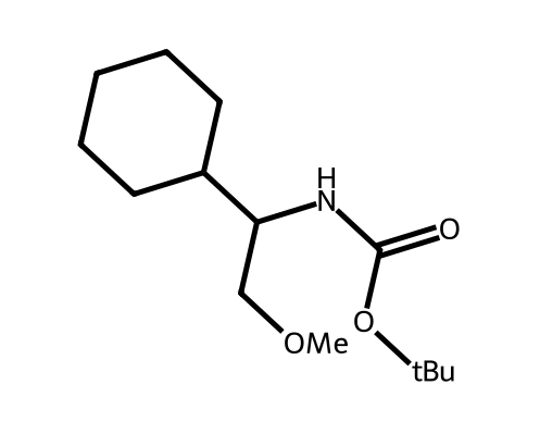 COCC(NC(=O)OC(C)(C)C)C1CCCCC1